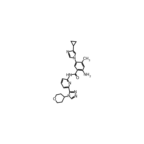 Cc1cc(N)c(C(=O)Nc2cccc(-c3nncn3C3CCOCC3)n2)cc1-n1cnc(C2CC2)c1